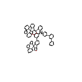 c1ccc(-c2cccc(-c3ccc(N(c4cccc(-c5ccc6c(c5)C5(c7ccccc7Oc7ccccc75)c5ccccc5-6)c4)c4ccccc4-c4cccc5c4-c4ccccc4C54c5ccccc5Oc5ccccc54)cc3)c2)cc1